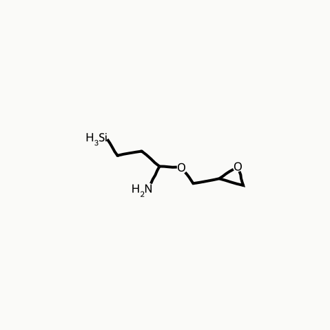 NC(CC[SiH3])OCC1CO1